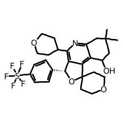 CC1(C)Cc2nc(C3CCOCC3)c3c(c2C(O)C1)C1(CCOCC1)O[C@@H]3c1ccc(S(F)(F)(F)(F)F)cc1